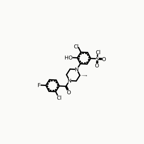 C[C@@H]1CN(C(=O)c2ccc(F)cc2Cl)CCN1c1cc(S(=O)(=O)Cl)cc(Cl)c1O